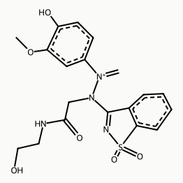 C=[N+](c1ccc(O)c(OC)c1)N(CC(=O)NCCO)C1=NS(=O)(=O)c2ccccc21